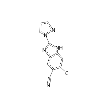 N#Cc1cc2nc(-n3cccn3)[nH]c2cc1Cl